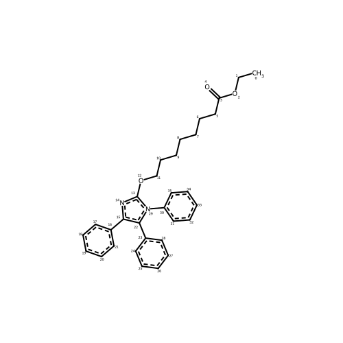 CCOC(=O)CCCCCCCOc1nc(-c2ccccc2)c(-c2ccccc2)n1-c1ccccc1